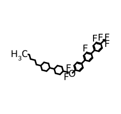 CCCCCC1CCC(C2CCC(C(F)(F)Oc3ccc(-c4ccc(-c5ccc(C(F)(F)F)c(F)c5)c(F)c4)cc3)CC2)CC1